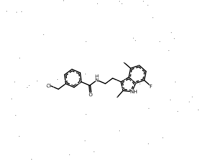 Cc1[nH]c2c(F)ccc(C)c2c1CCNC(=O)c1cccc(CCl)c1